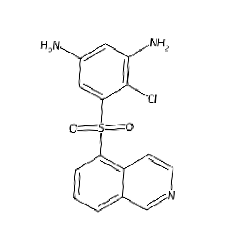 Nc1cc(N)c(Cl)c(S(=O)(=O)c2cccc3cnccc23)c1